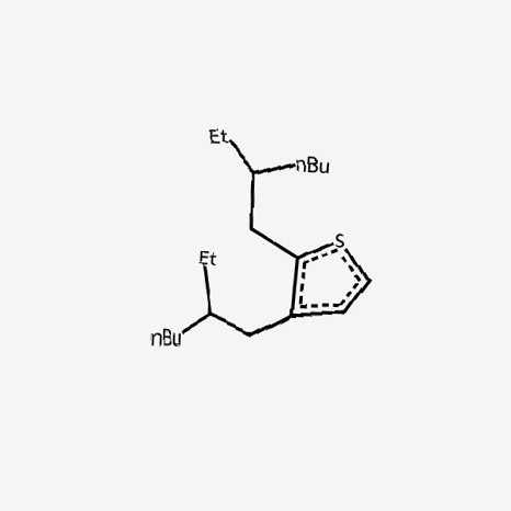 CCCCC(CC)Cc1ccsc1CC(CC)CCCC